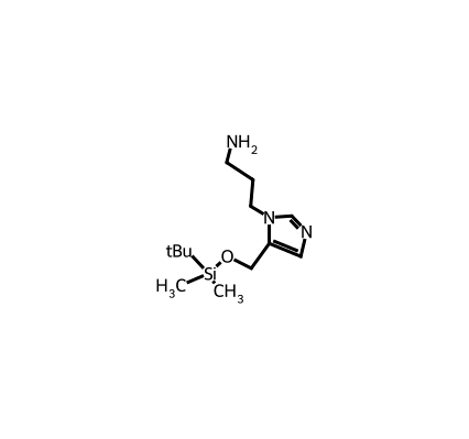 CC(C)(C)[Si](C)(C)OCc1cncn1CCCN